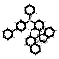 c1ccc(-c2ccc(N(c3ccccc3)c3cccc4c3Sc3ccc5ccccc5c3C43c4ccccc4-c4ccccc43)cc2)cc1